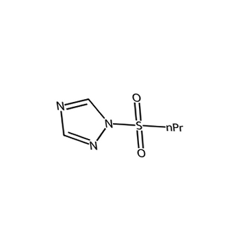 CCCS(=O)(=O)n1cncn1